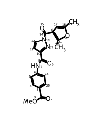 COC(=O)c1ccc(NC(=O)c2ccn(C(=O)c3cc(C)oc3C)n2)cc1